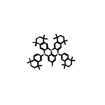 CC1(C)CCC(C)(C)c2cc(N3c4cc5c(cc4B4c6cc7c(cc6N(c6ccc8c(c6)C(C)(C)CCC8(C)C)c6cc(F)cc3c64)C(C)(C)CCC7(C)C)C(C)(C)CCC5(C)C)ccc21